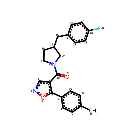 Cc1ccc(-c2oncc2C(=O)N2CCC(Cc3ccc(F)cc3)C2)cc1